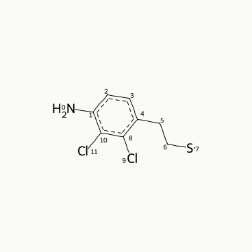 Nc1ccc(CC[S])c(Cl)c1Cl